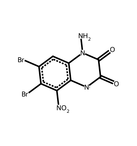 NN1C(=O)C(=O)[N]c2c1cc(Br)c(Br)c2[N+](=O)[O-]